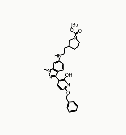 Cn1nc(-c2ccc(OCc3ccccc3)nc2O)c2ccc(NCCC3CCCN(C(=O)OC(C)(C)C)C3)cc21